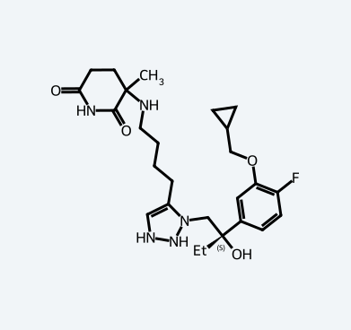 CC[C@@](O)(CN1NNC=C1CCCCNC1(C)CCC(=O)NC1=O)c1ccc(F)c(OCC2CC2)c1